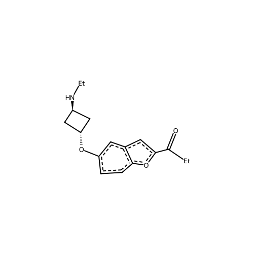 CCN[C@H]1C[C@H](Oc2ccc3oc(C(=O)CC)cc3c2)C1